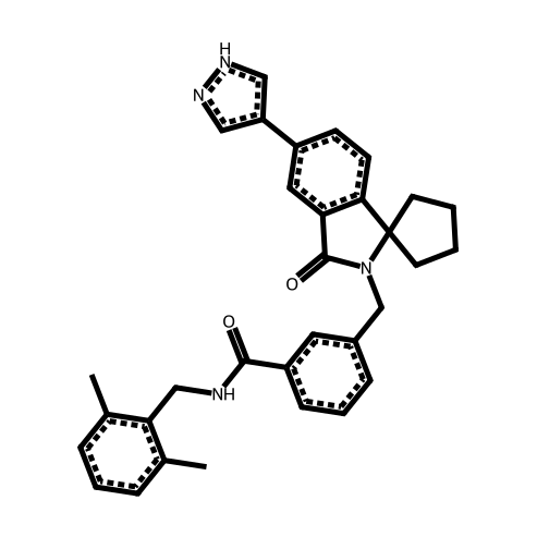 Cc1cccc(C)c1CNC(=O)c1cccc(CN2C(=O)c3cc(-c4cn[nH]c4)ccc3C23CCCC3)c1